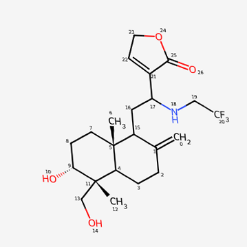 C=C1CCC2[C@](C)(CC[C@@H](O)[C@@]2(C)CO)C1CC(NCC(F)(F)F)C1=CCOC1=O